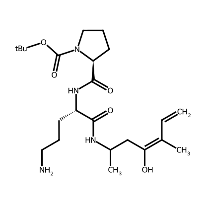 C=C/C(C)=C(/O)CC(C)NC(=O)[C@H](CCCN)NC(=O)[C@@H]1CCCN1C(=O)OC(C)(C)C